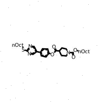 CCCCCCCCOC(=O)N1CCC(C(=O)Oc2ccc(-c3cnc(SCCCCCCCC)nc3)cc2)CC1